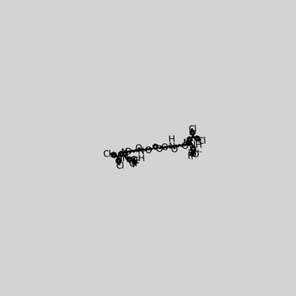 O=C(CCCCCOc1cc(NC2CCN([S+]([O-])C(F)(F)F)CC2)c2cc(C(c3ccc(Cl)cc3)c3ccc(Cl)cc3)ccc2n1)NCCCOCCO[C@@H]1CCC[C@H](CCOCCCNC(=O)CCCCCOc2cc(NC3CCN(S(=O)(=O)C(F)(F)F)CC3)c3cc(C(c4ccc(Cl)cc4)c4ccc(Cl)cc4)ccc3n2)C1